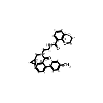 Cc1ccc(-c2ccccc2C(=O)N(CCNC(=O)c2cccc3c2OCCO3)CC2CC2)cc1